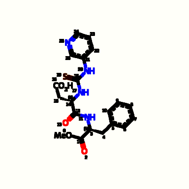 COC(=O)[C@H](Cc1ccccc1)NC(=O)[C@H](CC(=O)O)NC(=S)Nc1cccnc1